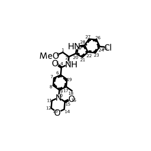 COCC(NC(=O)c1ccc(N2CCOCC2=O)c(C)c1)c1cc2cc(Cl)ccc2[nH]1